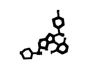 O=C(c1ccc(F)cc1)c1cc2cnc(NC3CCOCC3)nc2n1-c1c(F)cccc1F